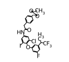 CC(c1cc(F)cc(Oc2c(Cl)cc(NC(=O)Cc3ccc(S(C)(=O)=O)cc3)cc2I)c1)C(F)(F)F